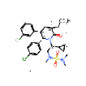 CN(C)S(=O)(=O)N(C)C[C@H](C1CC1)N1C(=O)[C@](C)(CC(=O)O)C[C@H](c2cccc(Cl)c2)[C@H]1c1ccc(Cl)cc1